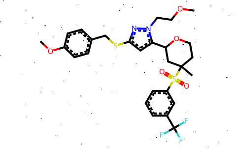 COCCn1nc(SCc2ccc(OC)cc2)cc1C1CC(C)(S(=O)(=O)c2cccc(C(F)(F)F)c2)CCO1